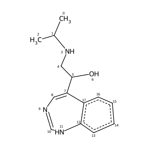 CC(C)NCC(O)C1=CN=CNc2ccccc21